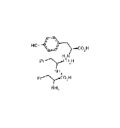 CC(C)C[C@H](N)C(=O)O.CC(C)C[C@H](N)C(=O)O.N[C@@H](Cc1ccc(O)cc1)C(=O)O